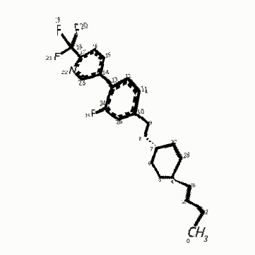 CCCC[C@H]1CC[C@H](CCc2ccc(-c3ccc(C(F)(F)F)nc3)c(F)c2)CC1